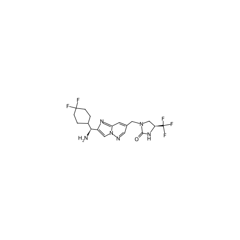 N[C@H](c1cn2ncc(CN3C[C@@H](C(F)(F)F)NC3=O)cc2n1)C1CCC(F)(F)CC1